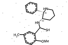 COc1ccc(C)cc1C(S)N[C@H]1CCCN[C@H]1c1ccccc1